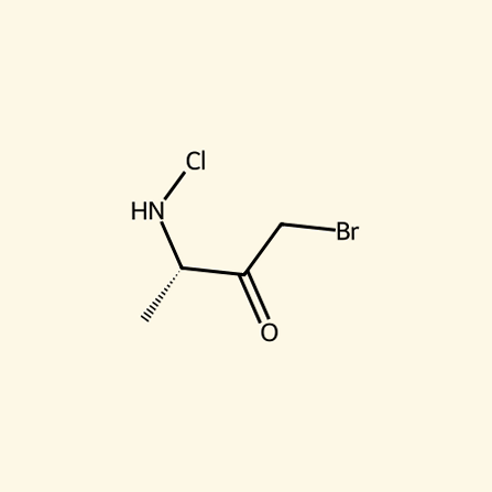 C[C@H](NCl)C(=O)CBr